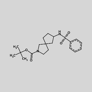 CC(C)(C)OC(=O)N1CCC2(CCC(NS(=O)(=O)c3ccccc3)C2)C1